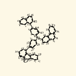 c1ccc2c(-c3ccc(N(c4ccc(-c5cccc6oc7ccccc7c56)cc4)c4ccc5ccc6ccccc6c5c4)cc3)cccc2c1